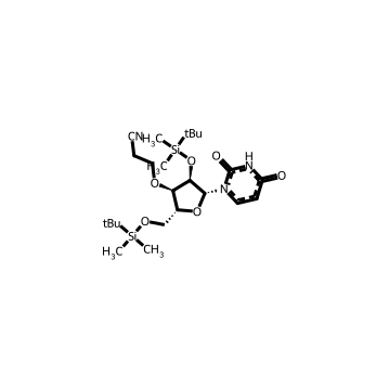 CC(C)(C)[Si](C)(C)OC[C@H]1O[C@@H](n2ccc(=O)[nH]c2=O)[C@H](O[Si](C)(C)C(C)(C)C)[C@@H]1OCCC#N